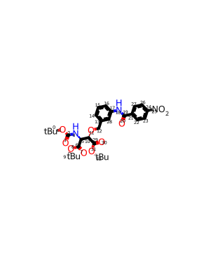 CC(C)(C)OC(=O)N[C@H](C(=O)OC(C)(C)C)[C@H](OCc1cccc(NC(=O)c2ccc([N+](=O)[O-])cc2)c1)C(=O)OC(C)(C)C